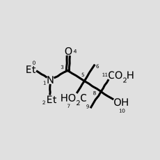 CCN(CC)C(=O)C(C)(C(=O)O)C(C)(O)C(=O)O